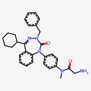 CN(C(=O)CN)c1ccc(N2C(=O)N(Cc3ccccc3)N=C(C3CCCCC3)c3ccccc32)cc1